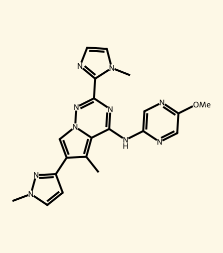 COc1cnc(Nc2nc(-c3nccn3C)nn3cc(-c4ccn(C)n4)c(C)c23)cn1